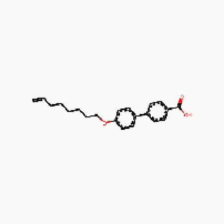 C=CCCCCCCOc1ccc(-c2ccc(C(=O)O)cc2)cc1